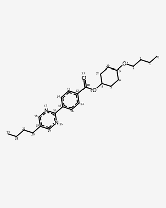 CCCCOC1CCC(OC(=O)c2ccc(-c3ncc(CCCC)cn3)cc2)CC1